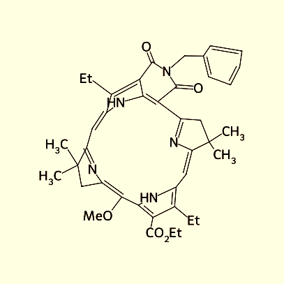 CCOC(=O)c1c(CC)c2cc3nc(c4c5[nH]c(cc6nc(c(OC)c1[nH]2)CC6(C)C)c(CC)c5C(=O)N(Cc1ccccc1)C4=O)CC3(C)C